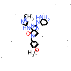 COc1ccc(Cn2ccc3nc(N[C@@H]4CCCC[C@@H]4N)nc(Nc4cnn(C)c4)c3c2=O)cc1